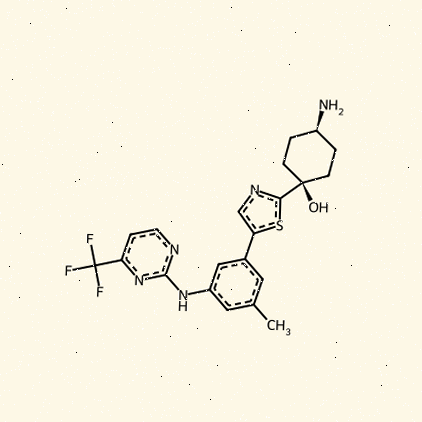 Cc1cc(Nc2nccc(C(F)(F)F)n2)cc(-c2cnc([C@]3(O)CC[C@@H](N)CC3)s2)c1